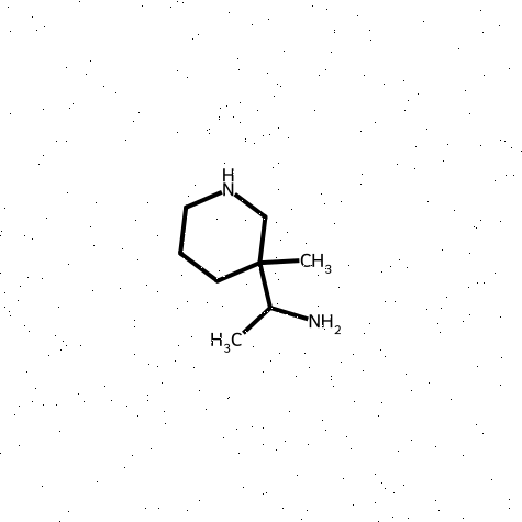 CC(N)C1(C)CCCNC1